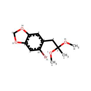 COC(C)(Cc1cc2c(cc1Br)OCO2)OC